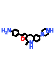 C=C1Nc2ccc(N3CCNCC3)cc2Cc2cc(-c3ccc(N)cc3)oc21